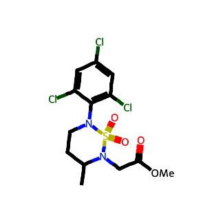 COC(=O)CN1C(C)CCN(c2c(Cl)cc(Cl)cc2Cl)S1(=O)=O